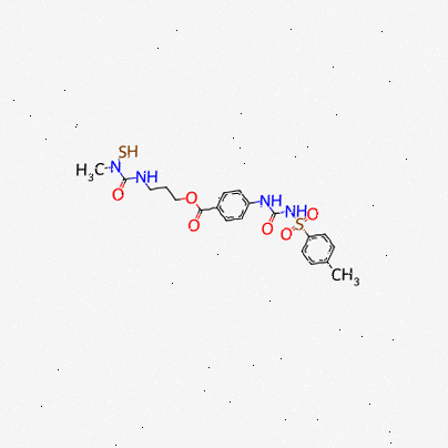 Cc1ccc(S(=O)(=O)NC(=O)Nc2ccc(C(=O)OCCCNC(=O)N(C)S)cc2)cc1